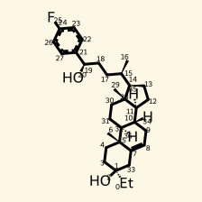 CC[C@]1(O)CC[C@@]2(C)C(=CC[C@H]3[C@@H]4CC[C@H]([C@H](C)CC[C@@H](O)c5ccc(F)cc5)[C@@]4(C)CC[C@@H]32)C1